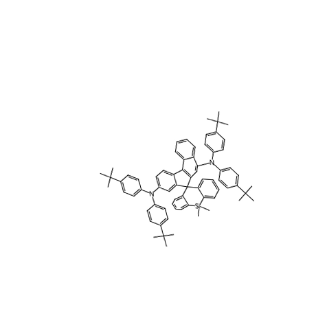 CC(C)(C)c1ccc(N(c2ccc(C(C)(C)C)cc2)c2ccc3c(c2)C2(c4ccccc4[Si](C)(C)c4ccccc42)c2cc(N(c4ccc(C(C)(C)C)cc4)c4ccc(C(C)(C)C)cc4)c4ccccc4c2-3)cc1